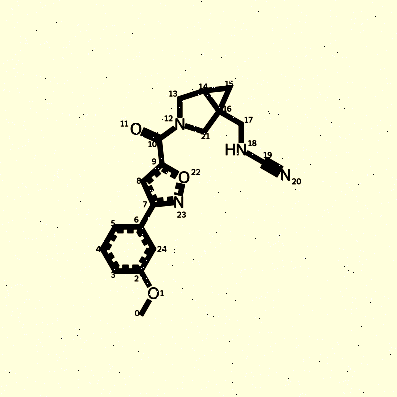 COc1cccc(-c2cc(C(=O)N3CC4CC4(CNC#N)C3)on2)c1